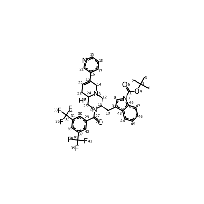 CC(C)(C)OC(=O)n1cc(C[C@@H]2CN3CC(c4cccnc4)=CC[C@@H]3CN2C(=O)c2cc(C(F)(F)F)cc(C(F)(F)F)c2)c2ccccc21